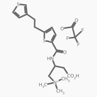 C[N+](C)(C)CC(CC(=O)O)NC(=O)c1ccc(CCc2ccsc2)s1.O=C([O-])C(F)(F)F